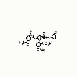 COc1ccc(-c2cc(C(=O)NCCc3cccc(Cl)c3)ccc2CC2CNc3ccc(C(N)=O)cc32)c(C(=O)O)c1